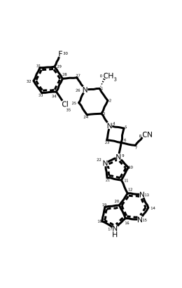 C[C@@H]1CC(N2CC(CC#N)(n3cc(-c4ncnc5[nH]ccc45)cn3)C2)CCN1Cc1c(F)cccc1Cl